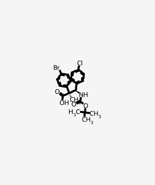 CC(C)(C)OC(=O)N[C@H](c1ccc(Cl)cc1)[C@@](C)(C(=O)O)c1ccc(Br)cc1